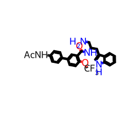 CC(=O)Nc1ccc(-c2ccc(OC(F)(F)F)c(C(=O)NC(CN)Cc3c[nH]c4ccccc34)c2)cc1